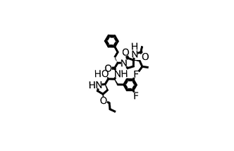 CCCO[C@H]1CN[C@@H]([C@@H](O)[C@H](Cc2cc(F)cc(F)c2)NC(=O)[C@H](CCc2ccccc2)N2CC[C@@](CC(C)C)(NC(C)=O)C2=O)C1